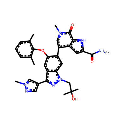 CCNC(=O)c1cc2c(-c3cc4c(cc3Oc3c(C)cccc3C)c(-c3cnn(C)c3)nn4CC(C)(C)O)cn(C)c(=O)c2[nH]1